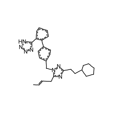 CC=CCc1nc(CCC2CCCCC2)nn1Cc1ccc(-c2ccccc2-c2nnn[nH]2)cc1